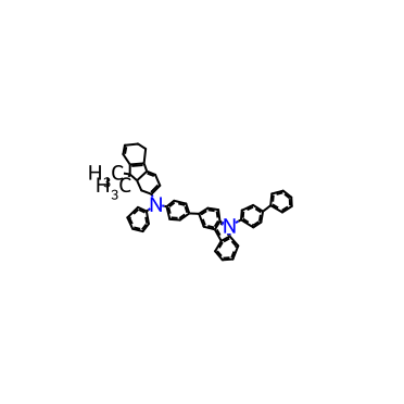 CC1(C)C2=C(CCC=C2)C2=CC=C(N(c3ccccc3)c3ccc(-c4ccc5c(c4)c4ccccc4n5-c4ccc(-c5ccccc5)cc4)cc3)CC21